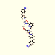 Nc1ccc(CC2CCN(C(=O)CN3CCOCCN(CC(=O)N4CCC(Cc5ccc(N)cc5)CC4)Cc4cccc(n4)C3)CC2)cc1